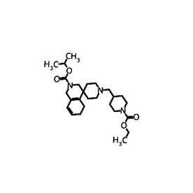 CCOC(=O)N1CCC(CN2CCC3(CC2)CN(C(=O)OC(C)C)CC2=C3CCC=C2)CC1